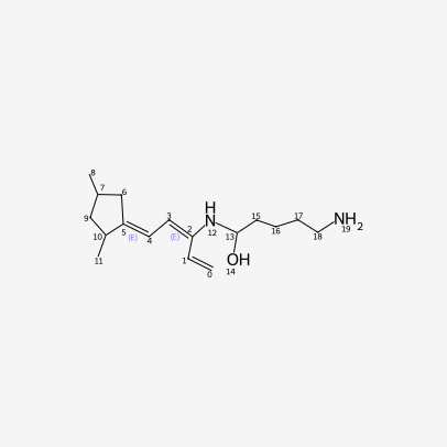 C=C/C(=C\C=C1/CC(C)CC1C)NC(O)CCCCN